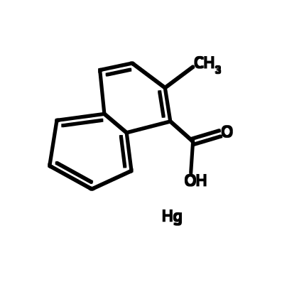 Cc1ccc2ccccc2c1C(=O)O.[Hg]